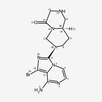 Nc1nccn2c([C@@H]3CC[C@@H]4CNCC(=O)N4C3)nc(Br)c12